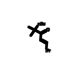 CCCCC(C)(C)C(=O)C=CC(C)C